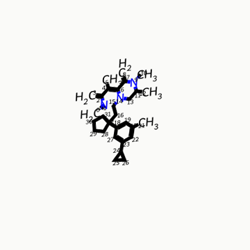 C=NC(=C)/C(C)=C1/C(=C)N(C)C(C)CN1CCC1(c2cc(C)cc(C3CC3)c2)CCCC1